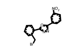 O=[N+]([O-])c1cccc(-c2nnc(-c3ccccc3CBr)o2)c1